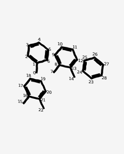 Cc1ccccc1.Cc1ccccc1C.Cc1ccccc1C.c1ccccc1